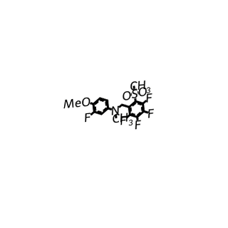 COc1ccc(N(C)Cc2c(F)c(F)c(F)c(F)c2S(C)(=O)=O)cc1F